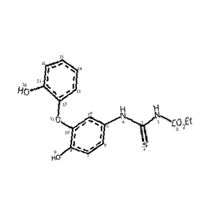 CCOC(=O)NC(=S)Nc1ccc(O)c(Oc2ccccc2O)c1